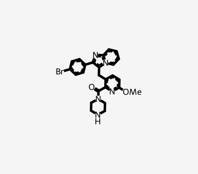 COc1ccc(Cc2c(-c3ccc(Br)cc3)nc3ccccn23)c(C(=O)N2CCNCC2)n1